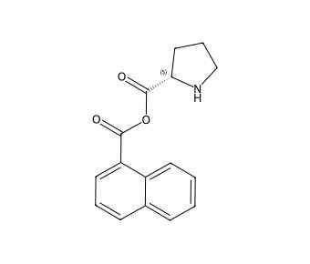 O=C(OC(=O)[C@@H]1CCCN1)c1cccc2ccccc12